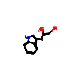 OCC(O)Cc1c[nH]c2ccccc12